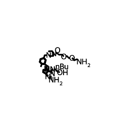 CCCC[C@@H](CO)Nc1nc(N)nc2ccn(Cc3cc(CN4CCN(C(=O)CCOCCOCCN)CC4)ccc3C)c12